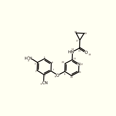 N#Cc1cc(N)ccc1Oc1ccnc(NC(=O)C2CC2)c1